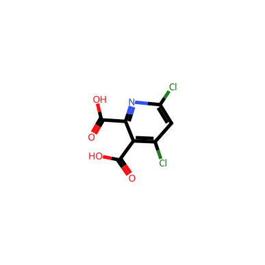 O=C(O)c1nc(Cl)cc(Cl)c1C(=O)O